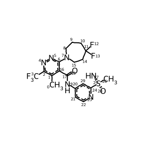 Cc1c(C(F)(F)F)nnc(N2CCCC(F)(F)CC2)c1C(=O)Nc1ccnc(S(C)(=N)=O)c1